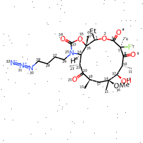 CC[C@H]1OC(=O)[C@@](C)(F)C(=O)[C@H](C)[C@@H](O)[C@@](C)(OC)C[C@@H](C)C(=O)[C@H](C)[C@H]2N(CCCCN=[N+]=[N-])C(=O)O[C@]12C